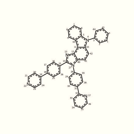 c1ccc(-n2c3ccccc3c3c4nc(-c5ccc(-c6ccncc6)cc5)n(-c5ccc(-c6ccccn6)cc5)c4ccc32)cc1